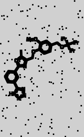 COc1cc(CO[Si](C(C)C)(C(C)C)C(C)C)ccc1OCc1nc(-c2cccc(-c3nnn[nH]3)c2)oc1C